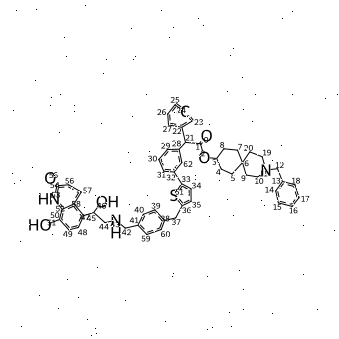 O=C(OC1CCC2(CC1)CCN(Cc1ccccc1)CC2)C(c1ccccc1)c1cccc(-c2ccc(Cc3ccc(CNCC(O)c4ccc(O)c5[nH]c(=O)ccc45)cc3)s2)c1